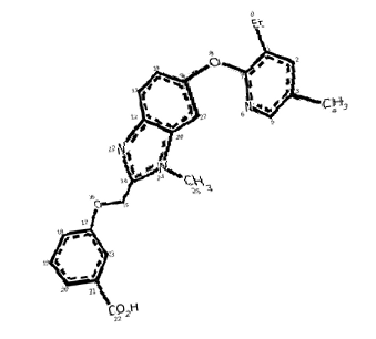 CCc1cc(C)cnc1Oc1ccc2nc(COc3cccc(C(=O)O)c3)n(C)c2c1